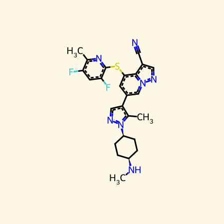 CN[C@H]1CC[C@@H](n2ncc(-c3cc(Sc4nc(C)c(F)cc4F)c4c(C#N)cnn4c3)c2C)CC1